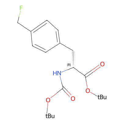 CC(C)(C)OC(=O)N[C@H](Cc1ccc(CF)cc1)C(=O)OC(C)(C)C